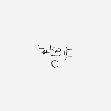 CCCNCCC(CCN(C(C)C)C(C)C)(C(N)=O)c1ccccc1